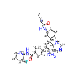 C/C=C/C(=O)Nc1cccc(-c2cc(-c3ccc(C(=O)Nc4ncccc4F)cc3)c(N)c3cncnc23)c1